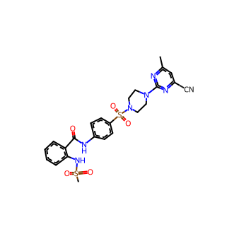 Cc1cc(C#N)nc(N2CCN(S(=O)(=O)c3ccc(NC(=O)c4ccccc4NS(C)(=O)=O)cc3)CC2)n1